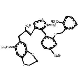 CCCCn1ncc(C=C(Cc2cc3c(cc2OC)OCCO3)C(=O)O)c1-c1ccc(OC)cc1OCc1ccccc1C(=O)O